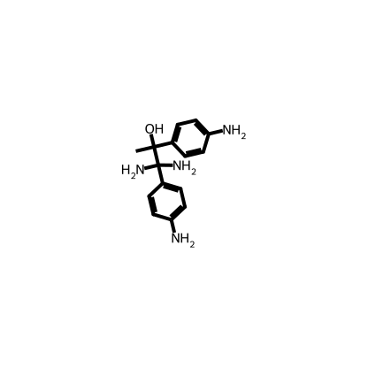 CC(O)(c1ccc(N)cc1)C(N)(N)c1ccc(N)cc1